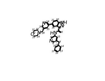 C=C(Nc1cncc(Cc2ccccc2)c1)c1n[nH]c2ccc(-c3cncc(CN4CCOCC4)c3)cc12